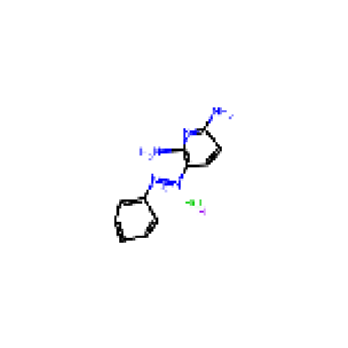 Cl.I.Nc1ccc(/N=N/c2ccccc2)c(N)n1